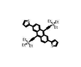 CC[Si](C#Cc1c2ccc(-c3cccs3)cc2c(C#C[Si](CC)(CC)CC)c2ccc(-c3cccs3)cc12)(CC)CC